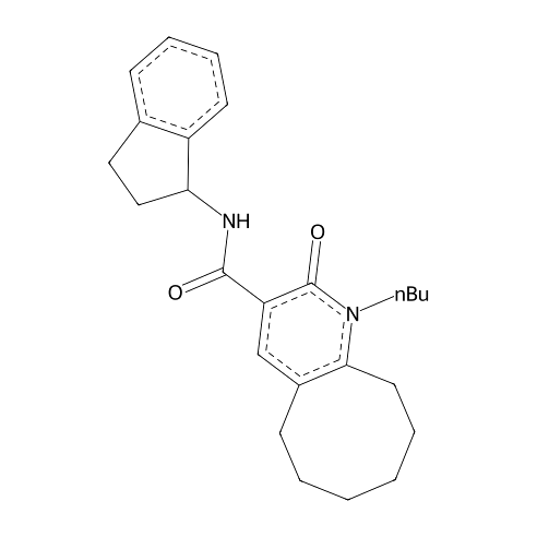 CCCCn1c2c(cc(C(=O)NC3CCc4ccccc43)c1=O)CCCCCC2